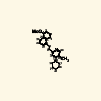 COc1cccc2c(CCc3cc(N4CCCCC4)c(C)cn3)cccc12